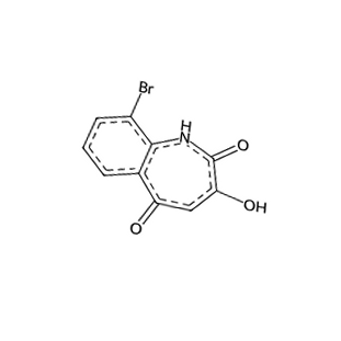 O=c1[nH]c2c(Br)cccc2c(=O)cc1O